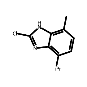 Cc1ccc(C(C)C)c2nc(Cl)[nH]c12